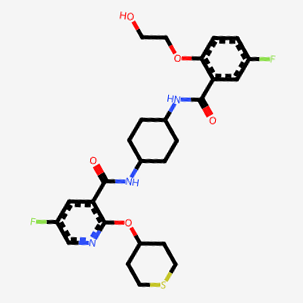 O=C(NC1CCC(NC(=O)c2cc(F)cnc2OC2CCSCC2)CC1)c1cc(F)ccc1OCCO